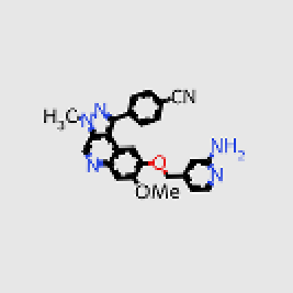 COc1cc2ncc3c(c(-c4ccc(C#N)cc4)nn3C)c2cc1OCc1ccnc(N)c1